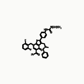 CC(C)C(=O)c1cn(Cc2c(F)cccc2F)c2sc(-c3ccc(NC(=O)N(C)O)cc3)c(CN(C)Cc3ccccc3)c2c1=O